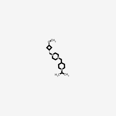 CO[C@H]1C[C@H](CN2CCN(CC3CCN(C(C)C)CC3)CC2)C1